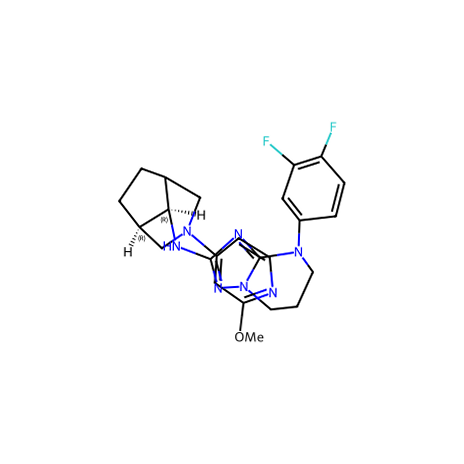 COc1cc(N2CC3CC[C@H](C2)[C@@H]3Nc2nc3n(n2)CCCN3c2ccc(F)c(F)c2)ccn1